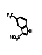 O=S(=O)(O)c1c[nH]c2ccc(C(F)(F)F)cc12